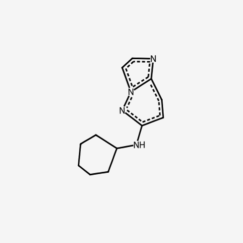 c1cn2nc(NC3CCCCC3)ccc2n1